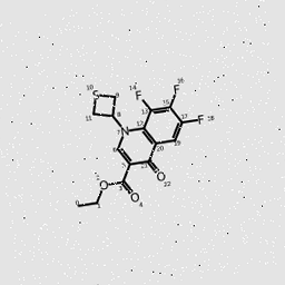 CCOC(=O)c1cn(C2CSC2)c2c(F)c(F)c(F)cc2c1=O